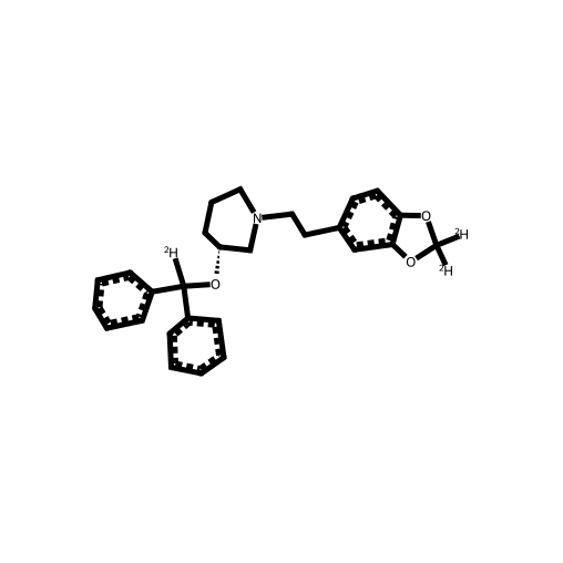 [2H]C1([2H])Oc2ccc(CCN3CCC[C@@H](OC([2H])(c4ccccc4)c4ccccc4)C3)cc2O1